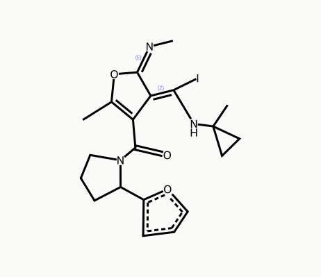 C/N=C1/OC(C)=C(C(=O)N2CCCC2c2ccco2)/C1=C(/I)NC1(C)CC1